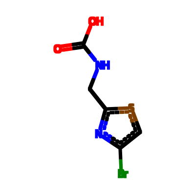 O=C(O)NCc1nc(Br)cs1